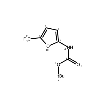 CC(C)(C)OC(=O)Nc1ccc(C(F)(F)F)o1